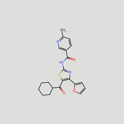 Cc1ccc(C(=O)Nc2nc(-c3ccco3)c(C(=O)C3CCCCC3)s2)cn1